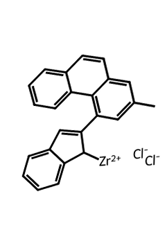 Cc1cc(C2=Cc3ccccc3[CH]2[Zr+2])c2c(ccc3ccccc32)c1.[Cl-].[Cl-]